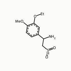 CCOc1cc(C(N)C[SH](=O)=O)ccc1OC